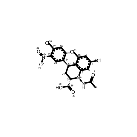 CC(=O)NN1c2cc(Cl)cc(Cl)c2[C@H](c2ccc(Cl)c([N+](=O)[O-])c2)C[C@H]1C(=O)O